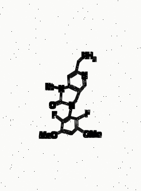 CCN1C(=O)N(c2c(F)c(OC)cc(OC)c2F)Cc2cnc(CN)cc21